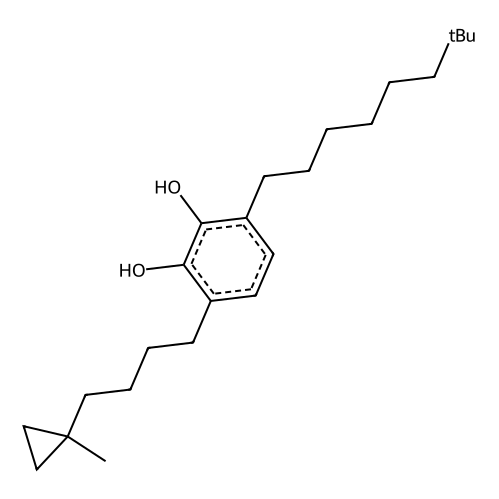 CC(C)(C)CCCCCCc1ccc(CCCCC2(C)CC2)c(O)c1O